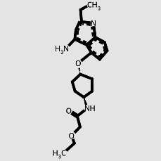 CCOCC(=O)N[C@H]1CC[C@H](Oc2cccc3nc(CC)cc(N)c23)CC1